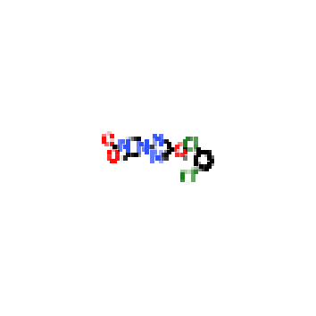 O=C1OCC2CN(c3ncc(OCc4c(Cl)cccc4Cl)cn3)CCN12